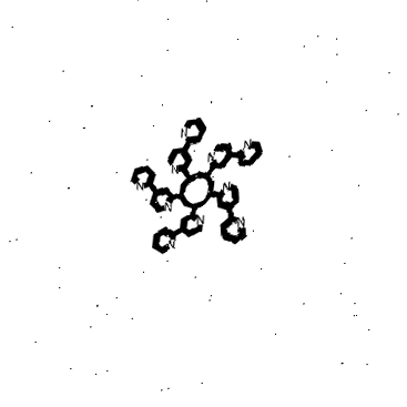 c1ccc(-c2ccnc(C3CC(c4cc(-c5ccccn5)ccn4)CC(c4cc(-c5ccccn5)ccn4)CC(c4cc(-c5ccccn5)ccn4)CC(c4cc(-c5ccccn5)ccn4)C3)c2)nc1